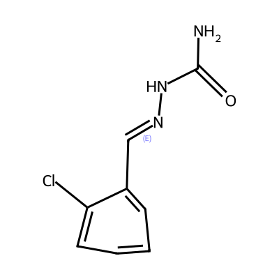 NC(=O)N/N=C/c1ccccc1Cl